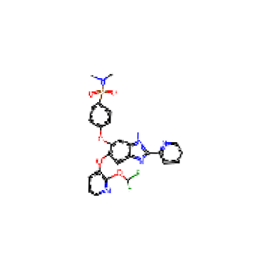 CN(C)S(=O)(=O)c1ccc(Oc2cc3[nH]c(-c4ccccn4)nc3cc2Oc2cccnc2OC(F)F)cc1